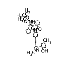 Cc1ccc(O)c(-c2nn(C)cc2C#Cc2ccc(NC(=O)[C@@H]3CCCCN3C(=O)[C@H](Cc3ccccc3)NC(=O)OC(C)(C)C)cc2)c1